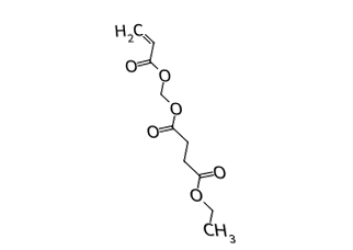 C=CC(=O)OCOC(=O)CCC(=O)OCC